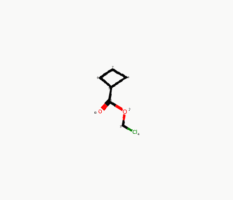 O=C(OCCl)C1CCC1